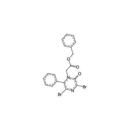 O=C(Cn1c(-c2ccccc2)c(Br)nc(Br)c1=O)OCc1ccccc1